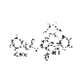 COc1ncccc1NC(=O)Cn1nc(-c2ccccc2)c2c1C(=O)NC2c1cccnc1